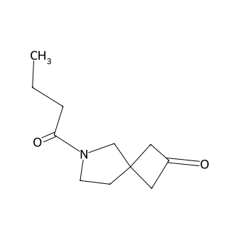 CCCC(=O)N1CCC2(CC(=O)C2)C1